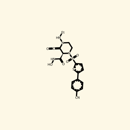 CCNN1CCN(S(=O)(=O)c2ccc(-c3ccc(C#N)cc3)s2)[C@@H](C(=O)NO)C1=C=O